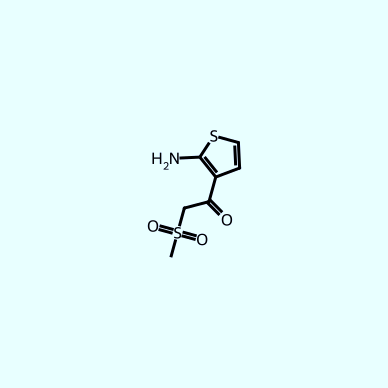 CS(=O)(=O)CC(=O)c1ccsc1N